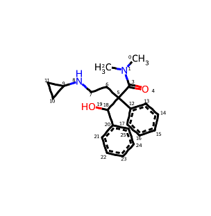 CN(C)C(=O)C(CCNC1CC1)(c1ccccc1)C(O)c1ccccc1